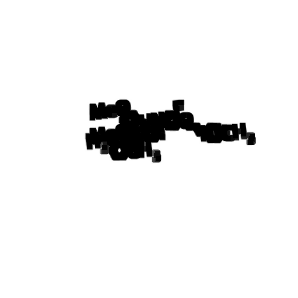 COc1ccc(N(C(=O)OC2C(C)CCCC2C)c2ccnc(Nc3ccc(OCCCN4CCN(C)CC4)c(F)c3)n2)c(OC)c1